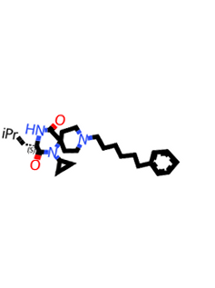 CC(C)C[C@@H]1NC(=O)C2(CCN(CCCCCCc3ccccc3)CC2)N(C2CC2)C1=O